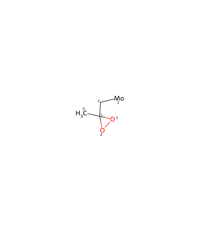 CC1([CH2][Mo])OO1